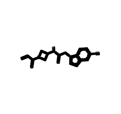 C=CC(=O)N1CC(NC(=O)Cn2ccc3cc(CC)ccc32)C1